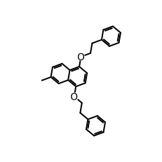 Cc1ccc2c(OCCc3ccccc3)ccc(OCCc3ccccc3)c2c1